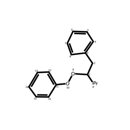 CC(C)C(Cc1ccccc1)OOc1ccccc1